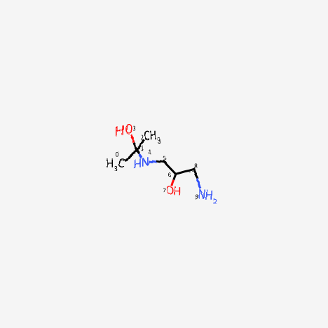 CC(C)(O)NCC(O)CN